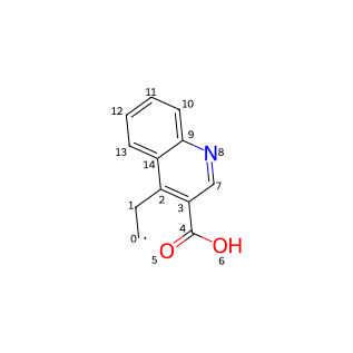 [CH2]Cc1c(C(=O)O)cnc2ccccc12